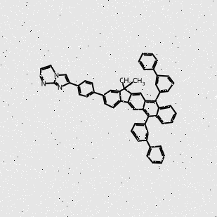 CC1(C)c2cc(-c3ccc(-c4cn5cccnc5n4)cc3)ccc2-c2cc3c(-c4cccc(-c5ccccc5)c4)c4ccccc4c(-c4cccc(-c5ccccc5)c4)c3cc21